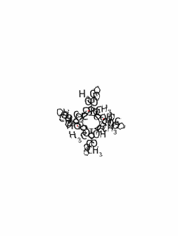 COc1cc(O)c2cc1C(c1ccc(C(=O)OCOC3(C)CCCCC3)cc1)c1cc(c(OC)cc1O)C(c1ccc(C(=O)OCOC3(C)CCCCC3)cc1)c1cc(c(OC)cc1O)C(c1ccc(C(=O)OCOC3(C)CCCCC3)cc1)c1cc(c(OC)cc1O)C2c1ccc(C(=O)OCOC2(C)CCCCC2)cc1